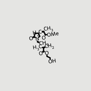 C=C(C)C(=O)OC.C=C(C)C(=O)OCCO.C=CN1CCCC1=O